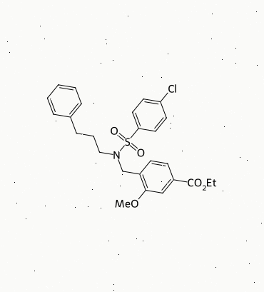 CCOC(=O)c1ccc(CN(CCCc2ccccc2)S(=O)(=O)c2ccc(Cl)cc2)c(OC)c1